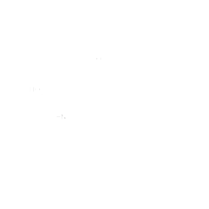 O=C(O)CCC(Nc1ccc2cc3ccccc3cc2c1)C(=O)O